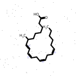 CCCCC/C=C\C/C=C\C/C=C\C=C\C(C)CCCCCC(=O)O